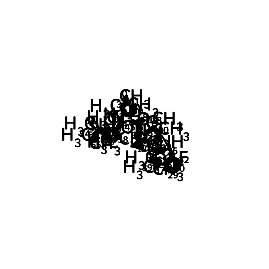 CC[C@H](C)[C@@H]([C@@H](CC(=O)N1CC2(CC2)C[C@H]1[C@H](OC)[C@@H](C)C(=O)N[C@@H](Cc1ccccc1F)C(=O)OC(C)(C)C)OC)N(C)C(=O)[C@@H](NC(=O)[C@@H](NC)C(C)C)C(C)C